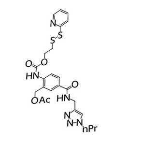 CCCn1cc(CNC(=O)c2ccc(NC(=O)OCCSSc3ccccn3)c(COC(C)=O)c2)nn1